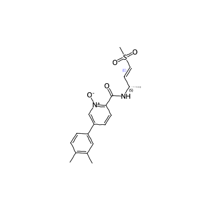 Cc1ccc(-c2ccc(C(=O)N[C@@H](C)/C=C/S(C)(=O)=O)[n+]([O-])c2)cc1C